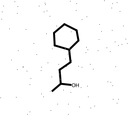 [CH2]C(O)CCC1CCCCC1